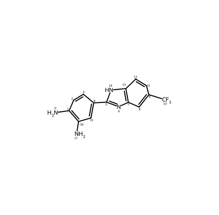 Nc1ccc(-c2nc3cc(C(F)(F)F)ccc3[nH]2)cc1N